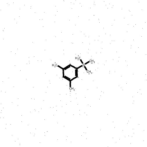 [CH2]c1cc(C)cc([Si](C)(C)C)c1